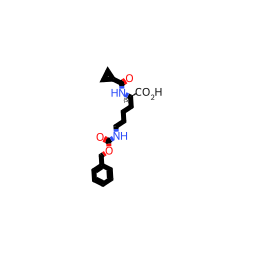 O=C(NCCCC[C@H](NC(=O)C1CC1)C(=O)O)OCc1ccccc1